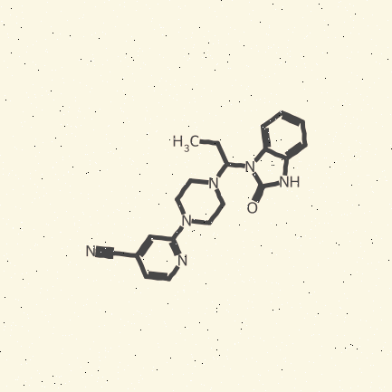 CCC(N1CCN(c2cc(C#N)ccn2)CC1)n1c(=O)[nH]c2ccccc21